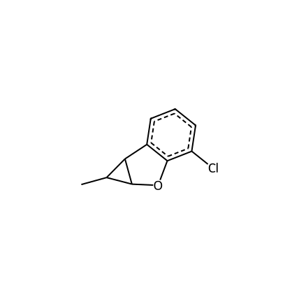 CC1C2Oc3c(Cl)cccc3C12